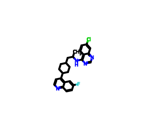 CC(CC1CCC(c2ccnc3ccc(F)cc23)CC1)Nc1ncnc2cc(Cl)ccc12